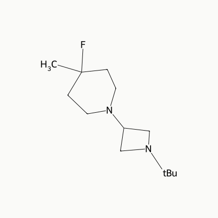 CC1(F)CCN(C2CN(C(C)(C)C)C2)CC1